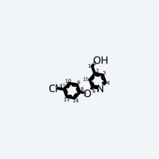 OCc1ccnc(Oc2ccc(Cl)cc2)c1